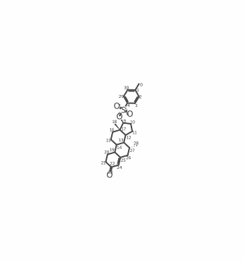 Cc1ccc(S(=O)(=O)O[C@H]2CCC3C4C(CC[C@@]32C)C2CCC(=O)C=C2C[C@H]4C)cc1